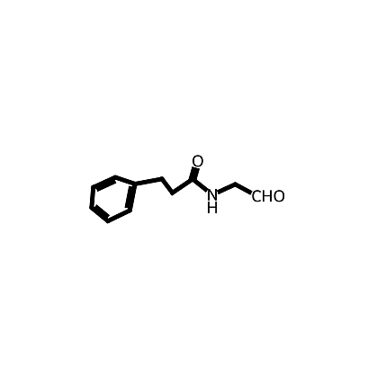 O=CCNC(=O)CCc1ccccc1